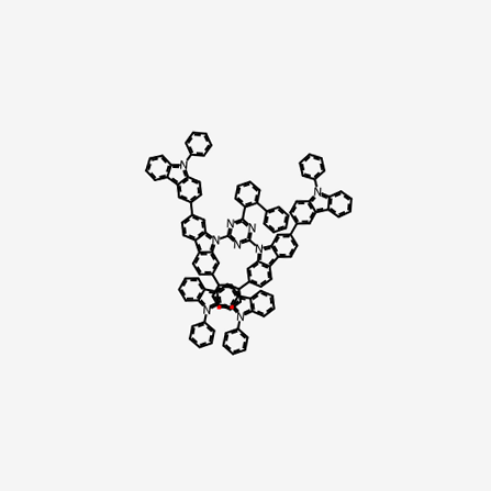 c1ccc(-c2ccccc2-c2nc(-n3c4cc(-c5ccc6c(c5)c5ccccc5n6-c5ccccc5)ccc4c4ccc(-c5ccc6c(c5)c5ccccc5n6-c5ccccc5)cc43)nc(-n3c4cc(-c5ccc6c(c5)c5ccccc5n6-c5ccccc5)ccc4c4ccc(-c5ccc6c(c5)c5ccccc5n6-c5ccccc5)cc43)n2)cc1